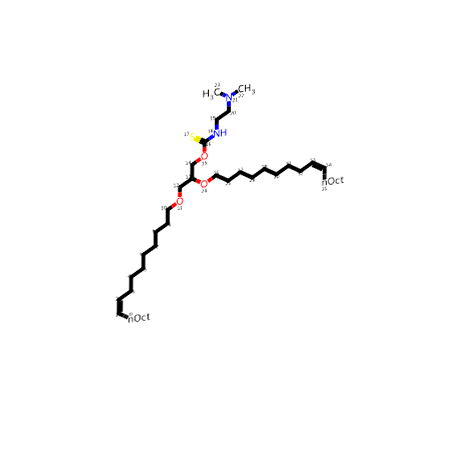 CCCCCCCC/C=C\CCCCCCCCOCC(COC(=S)NCCN(C)C)OCCCCCCCC/C=C\CCCCCCCC